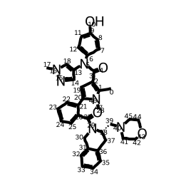 Cc1c(C(=O)N(c2ccc(O)cc2)c2cnn(C)c2)cc(-c2ccccc2C(=O)N2Cc3ccccc3C[C@H]2CN2CCOCC2)n1C